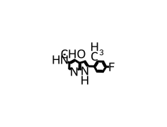 Cc1cc(F)ccc1-c1cc2cc(NC=O)cnc2[nH]1